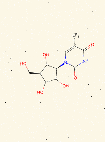 O=c1[nH]c(=O)n([C@H]2C(O)C(O)[C@@H](CO)[C@@H]2O)cc1C(F)(F)F